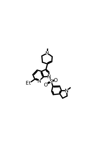 CCc1ccc2c(C3=CCN(C)CC3)cn(S(=O)(=O)c3ccc4c(c3)N(C)CC4)c2n1